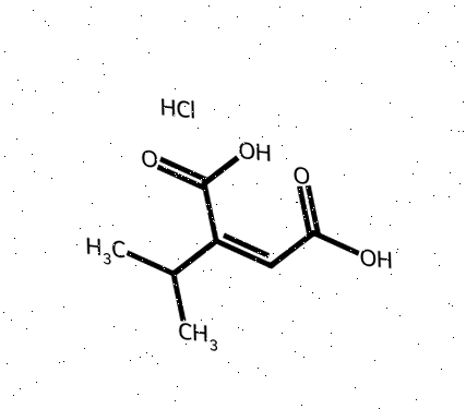 CC(C)C(=CC(=O)O)C(=O)O.Cl